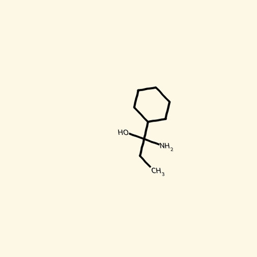 CCC(N)(O)C1CCCCC1